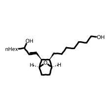 CCCCCCC(O)C=C[C@H]1[C@@H](CCCCCCCO)[C@H]2CC[C@@H]1O2